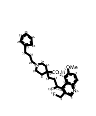 COc1ccc2ncc(CF)c(C(F)CCC3(C(=O)O)CCN(CCCc4ccccc4)CC3)c2c1